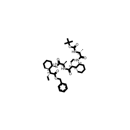 CC[C@@H](C(=O)N[C@H](C)C(=O)N[C@@H]1CCCC[C@@H]1[C@@H](CC)C(=O)OCc1ccccc1)[C@H]1CCCC[C@H]1NC(=O)[C@@H](C)NC(=O)OC(C)(C)C